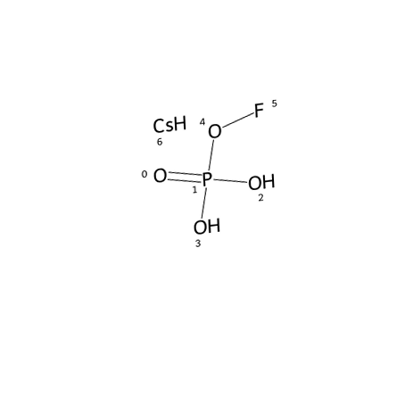 O=P(O)(O)OF.[CsH]